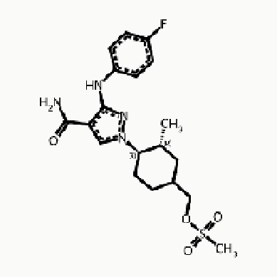 C[C@@H]1CC(COS(C)(=O)=O)CC[C@H]1n1cc(C(N)=O)c(Nc2ccc(F)cc2)n1